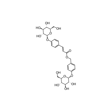 O=C(/C=C/c1ccc(O[C@@H]2O[C@H](CO)[C@@H](O)[C@H](O)[C@H]2O)cc1)OCc1ccc(O[C@@H]2O[C@H](CO)[C@@H](O)[C@H](O)[C@H]2O)cc1